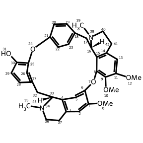 COc1cc2c3cc1Oc1c(OC)c(OC)cc4c1[C@H](Cc1ccc(cc1)Oc1cc(ccc1O)C[C@H]3N(C)CC2)N(C)CC4